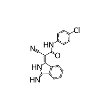 N#CC(C(=O)Nc1ccc(Cl)cc1)=C1NC(=N)c2ccccc21